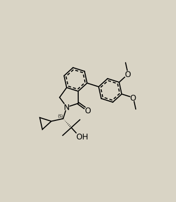 COc1ccc(-c2cccc3c2C(=O)N([C@@H](C2CC2)C(C)(C)O)C3)cc1OC